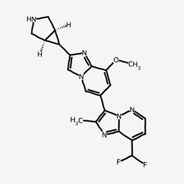 COc1cc(-c2c(C)nc3c(C(F)F)ccnn23)cn2cc(C3[C@H]4CNC[C@@H]34)nc12